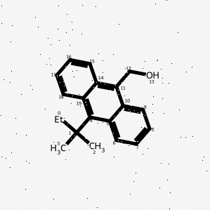 CCC(C)(C)c1c2ccccc2c(CO)c2ccccc12